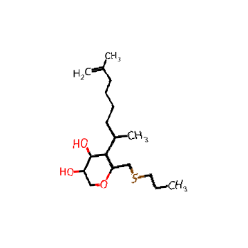 C=C(C)CCCCC(C)C1C(CSCCC)OCC(O)C1O